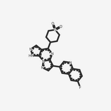 O=S1(=O)CCC(c2nc3c(-c4cnc5ccc(F)cc5c4)cnn3c3[nH]ncc23)CC1